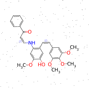 COc1cc(N/C=C\C(=O)c2ccccc2)c(/C=C\c2cc(OC)c(OC)c(OC)c2)cc1O